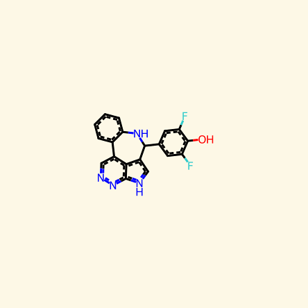 Oc1c(F)cc(C2Nc3ccccc3-c3cnnc4[nH]cc2c34)cc1F